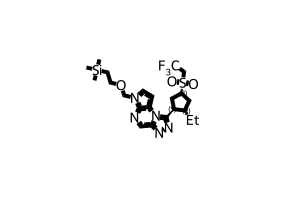 CC[C@@H]1C[C@@H](S(=O)(=O)CC(F)(F)F)C[C@@H]1c1nnc2cnc3c(ccn3COCC[Si](C)(C)C)n12